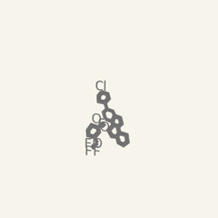 O=S(=O)(c1cccc(OC(F)(F)F)c1)C1CC(c2ccc(Cl)cc2)Cc2ccc3c(ccc4ccccc43)c21